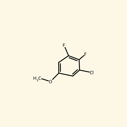 COc1cc(F)c(F)c(Cl)c1